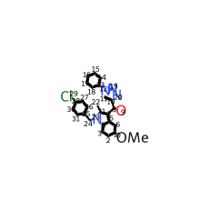 COc1ccc2c(c1)c(C(=O)c1cn(-c3ccccc3)nn1)c(C)n2Cc1ccc(Cl)cc1